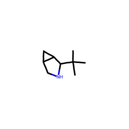 CC(C)(C)C1NCC2CC21